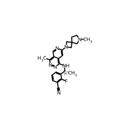 Cc1nnc(N[C@H](C)c2cccc(C#N)c2F)c2cc(N3CC4(CCN(C)C4)C3)ncc12